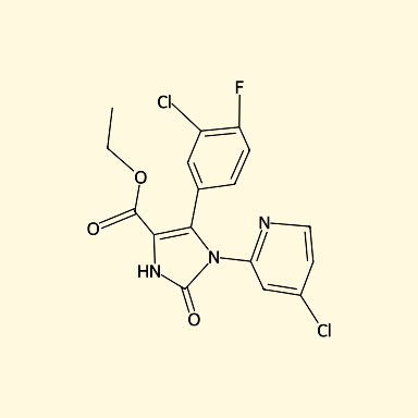 CCOC(=O)c1[nH]c(=O)n(-c2cc(Cl)ccn2)c1-c1ccc(F)c(Cl)c1